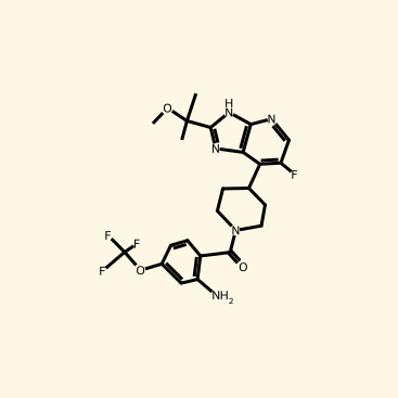 COC(C)(C)c1nc2c(C3CCN(C(=O)c4ccc(OC(F)(F)F)cc4N)CC3)c(F)cnc2[nH]1